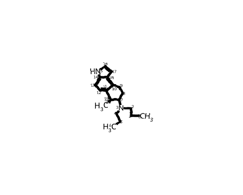 CCCN(CCC)C1CCc2c(ccc3[nH]ccc23)C1C